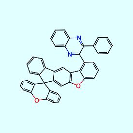 c1ccc(-c2nc3ccccc3nc2-c2cccc3oc4cc5c(cc4c23)-c2ccccc2C52c3ccccc3Oc3ccccc32)cc1